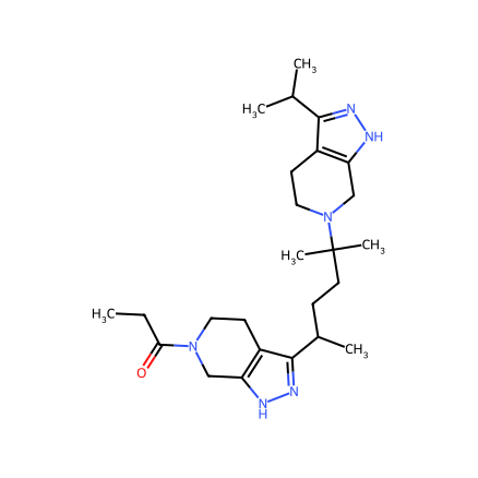 CCC(=O)N1CCc2c(C(C)CCC(C)(C)N3CCc4c(C(C)C)n[nH]c4C3)n[nH]c2C1